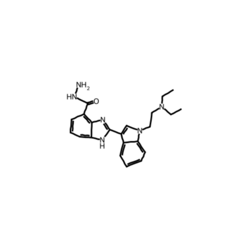 CCN(CC)CCn1cc(-c2nc3c(C(=O)NN)cccc3[nH]2)c2ccccc21